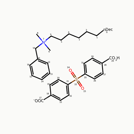 CCCCCCCCCCCCCCCC[N+](C)(C)Cc1ccccc1.O=C([O-])c1ccc(S(=O)(=O)c2ccc(C(=O)O)cc2)cc1